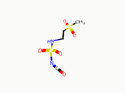 CS(=O)(=O)CCNS(=O)(=O)N=C=O